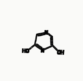 Oc1cncc(O)n1